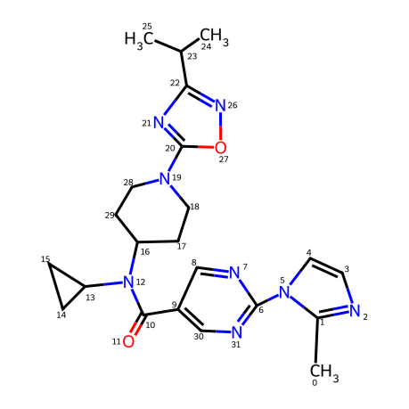 Cc1nccn1-c1ncc(C(=O)N(C2CC2)C2CCN(c3nc(C(C)C)no3)CC2)cn1